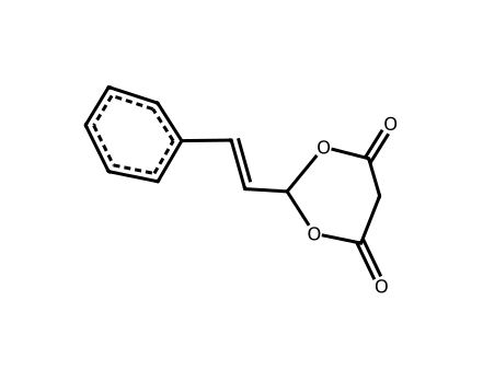 O=C1CC(=O)OC(C=Cc2ccccc2)O1